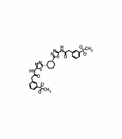 CS(=O)(=O)c1cccc(CC(=O)Nc2nnc([C@H]3CCC[C@H](c4nnc(NC(=O)Cc5cccc(S(C)(=O)=O)c5)s4)C3)s2)c1